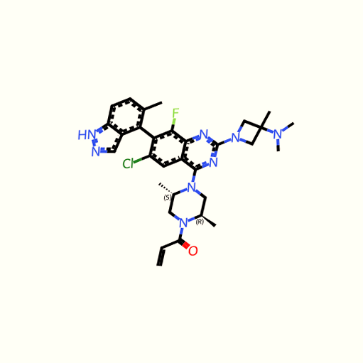 C=CC(=O)N1C[C@H](C)N(c2nc(N3CC(C)(N(C)C)C3)nc3c(F)c(-c4c(C)ccc5[nH]ncc45)c(Cl)cc23)C[C@H]1C